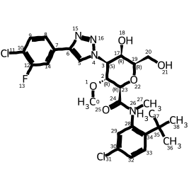 CO[C@@H]1[C@@H](n2cc(-c3ccc(Cl)c(F)c3)nn2)[C@@H](O)[C@@H](CO)O[C@H]1C(=O)N(C)c1cc(Cl)ccc1C(C)(C)C